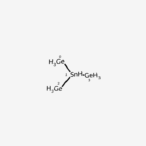 [GeH3][SnH]([GeH3])[GeH3]